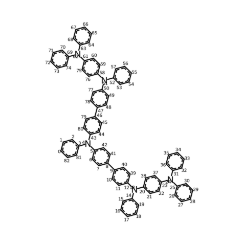 c1ccc(N(c2ccc(-c3ccc(N(c4ccccc4)c4ccc(N(c5ccccc5)c5ccccc5)cc4)cc3)cc2)c2ccc(-c3ccc(N(c4ccccc4)c4ccc(N(c5ccccc5)c5ccccc5)cc4)cc3)cc2)cc1